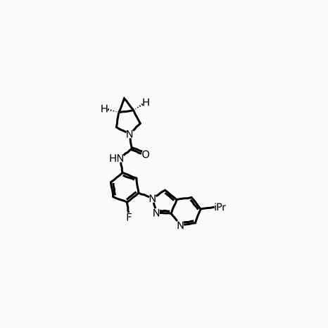 CC(C)c1cnc2nn(-c3cc(NC(=O)N4C[C@H]5C[C@H]5C4)ccc3F)cc2c1